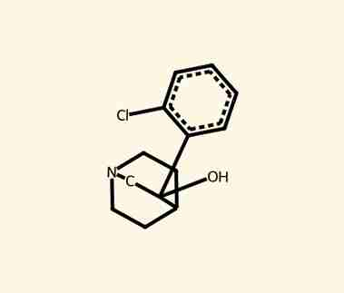 OC1(c2ccccc2Cl)CN2CCC1CC2